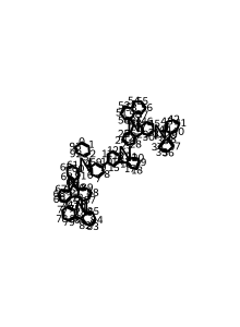 c1ccc(N(c2cccc(-c3ccc4c(c3)c3ccccc3n4-c3ccc4c(c3)c3cc(-n5c6ccccc6c6ccccc65)ccc3n4-c3cccc4ccccc34)c2)c2cccc(-n3c4ccccc4c4c(-n5c6ccccc6c6ccccc65)cccc43)c2)cc1